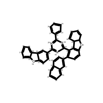 C1=CC2Oc3ccc(-c4ccc5ccccc5c4)c(-c4nc(-c5ccccc5)nc(-c5ccc6oc7ccccc7c6c5)n4)c3C2C=C1